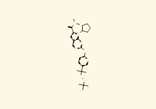 CN(C)C(=O)c1cc2cnc(Nc3ccc(C(C)(C)O[SiH2]C(C)(C)C)cn3)nc2n1C1CCCC1